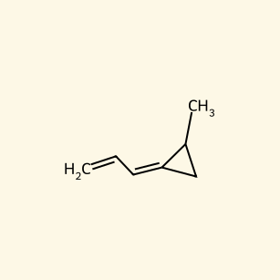 C=CC=C1CC1C